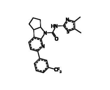 Cc1nc(NC(=O)N2c3nc(-c4cccc(C(F)(F)F)c4)ccc3C3CCCC32)sc1C